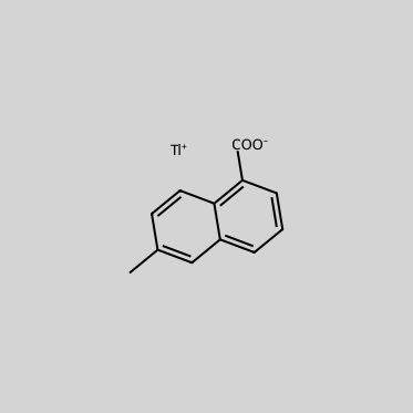 Cc1ccc2c(C(=O)[O-])cccc2c1.[Tl+]